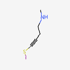 CNCCC#CSI